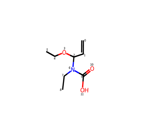 C=CC(OCC)N(CC)C(=O)O